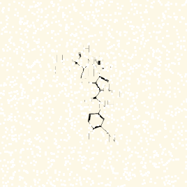 C=CC(C)(O)C1COc2c(cn(C)c2C(=O)Nc2ccc(F)c(C#N)c2)S(=O)(=O)N1